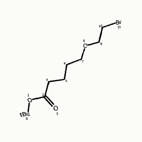 CC(C)(C)OC(=O)CCCCOCCBr